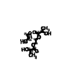 CC(O)C(=O)OCCOC(=O)C(C)O.OCCO